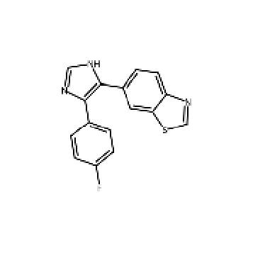 Fc1ccc(-c2nc[nH]c2-c2ccc3ncsc3c2)cc1